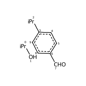 CC(C)O.CC(C)c1ccc(C=O)cc1